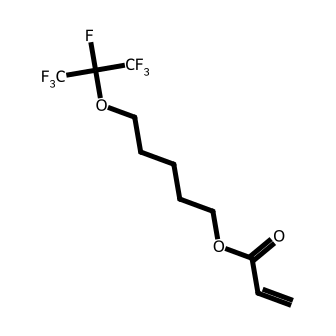 C=CC(=O)OCCCCCOC(F)(C(F)(F)F)C(F)(F)F